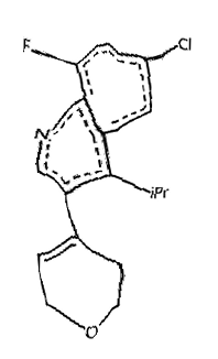 CC(C)c1c(C2=CCOCC2)cnc2c(F)cc(Cl)cc12